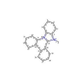 C[n+]1c2ccccc2n2c3ccccc3c3ccccc3c21